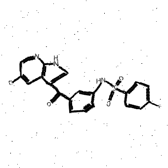 O=C(c1cccc(NS(=O)(=O)c2ccc(F)cc2)c1)c1c[nH]c2ncc(Cl)cc12